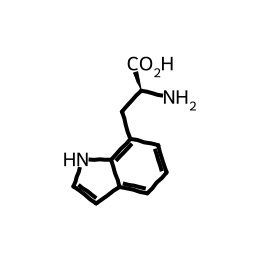 N[C@@H](Cc1cccc2cc[nH]c12)C(=O)O